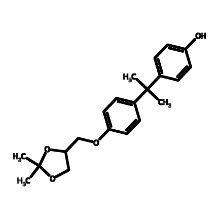 CC1(C)OCC(COc2ccc(C(C)(C)c3ccc(O)cc3)cc2)O1